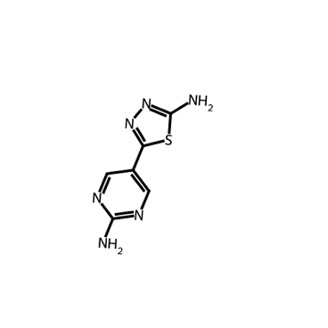 Nc1ncc(-c2nnc(N)s2)cn1